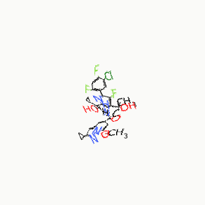 COc1cc(C(=O)NC[C@](O)(c2cc(C(C)(C)O)c(F)c(-c3cc(Cl)c(F)cc3F)n2)C2CC2)cc2cc(C3CC3)nn12